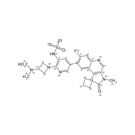 CCS(=O)(=O)Nc1cc(-c2cc3c4c(cnc3cc2F)N(C)C(=O)C42CCC2)cnc1N1CC(N(C)C(=O)O)C1